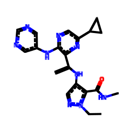 C=C(Nc1cnn(CC)c1C(=O)NC)c1nc(C2CC2)cnc1Nc1cncnc1